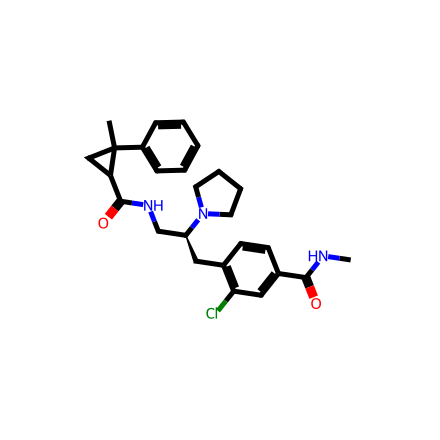 CNC(=O)c1ccc(C[C@@H](CNC(=O)C2CC2(C)c2ccccc2)N2CCCC2)c(Cl)c1